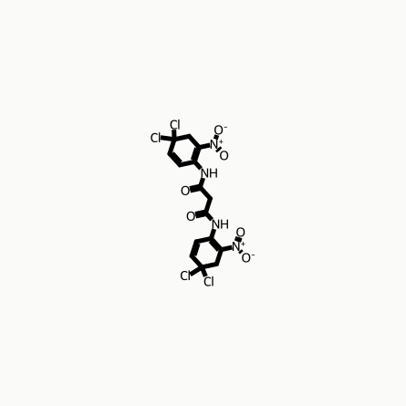 O=C(CC(=O)NC1=C([N+](=O)[O-])CC(Cl)(Cl)C=C1)NC1=C([N+](=O)[O-])CC(Cl)(Cl)C=C1